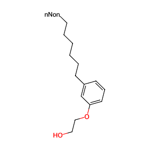 CCCCCCCCCCCCCCCc1cccc(OCCO)c1